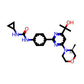 C[C@H]1COCCN1c1cc(C(C)(C)O)nc(-c2ccc(NC(=O)NC3CC3)cc2)n1